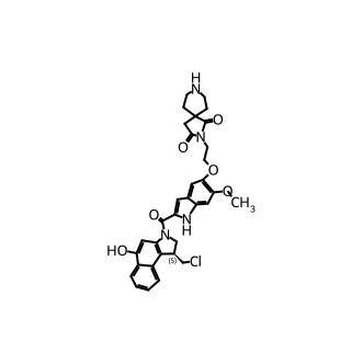 COc1cc2[nH]c(C(=O)N3C[C@@H](CCl)c4c3cc(O)c3ccccc43)cc2cc1OCCN1C(=O)CC2(CCNCC2)C1=O